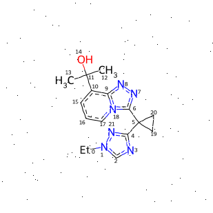 CCn1cnc(C2(c3nnc4c(C(C)(C)O)cccn34)CC2)n1